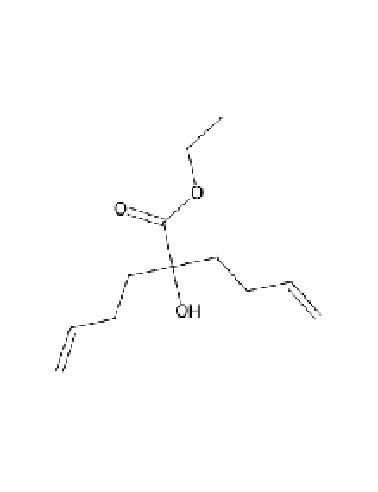 C=CCCC(O)(CCC=C)C(=O)OCC